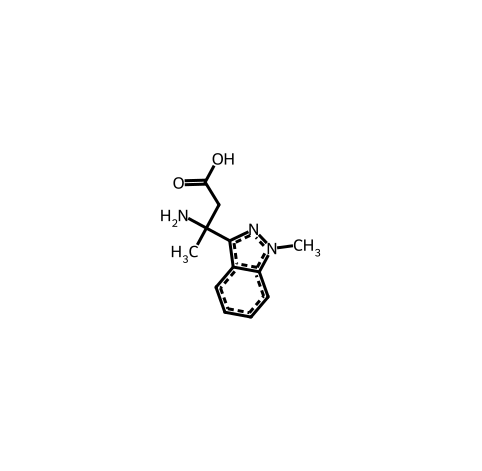 Cn1nc(C(C)(N)CC(=O)O)c2ccccc21